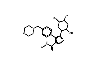 CCNC(=O)c1noc(C2CC(C(C)C)C(O)CC2O)c1-c1ccc(CN2CCOCC2)cc1